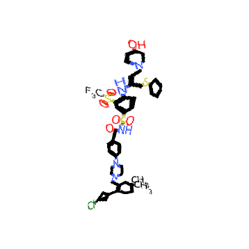 CC1(C)CCC(C23CC(Cl)(C2)C3)=C(CN2CCN(c3ccc(C(=O)NS(=O)(=O)c4ccc(NC(CCN5CCC(O)CC5)CSc5ccccc5)c(S(=O)(=O)C(F)(F)F)c4)cc3)CC2)C1